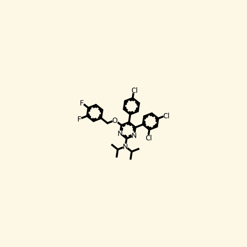 CC(C)N(c1nc(OCc2ccc(F)c(F)c2)c(-c2ccc(Cl)cc2)c(-c2ccc(Cl)cc2Cl)n1)C(C)C